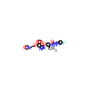 Cc1cc(Oc2ncnc3cc(OCCCN4CCOCC4)c4c(c23)OCCO4)ccc1NC(=O)NCc1ccc(F)cc1